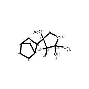 CC(=O)OC1(C2CC3CCC2C3)COC(O)(C(F)(F)F)C1(F)F